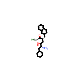 CNC(=O)[C@H](Cc1ccc2ccccc2c1)C[C@H](O)[C@@H](N)CC1CCCCC1.Cl